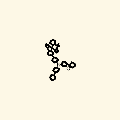 CC1(C)c2ccccc2C2(c3ccccc3-c3ccc(-c4ccc(N(c5ccc(-c6ccccc6)cc5)c5ccc6c(c5)oc5ccccc56)cc4)cc32)c2ccccc21